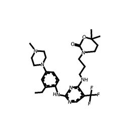 CCc1cc(N2CCN(C)CC2)ccc1Nc1ncc(C(F)(F)F)c(NCCCN2CCC(C)(C)OC2=O)n1